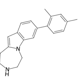 Cc1ccc(-c2ccc3cc4n(c3c2)CCNCC4)c(C)c1